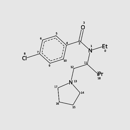 CCN(C(=O)c1ccc(Cl)cc1)C(CN1CCCC1)C(C)C